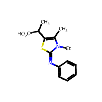 CCn1c(C)c(C(C)C(=O)O)s/c1=N/c1ccccc1